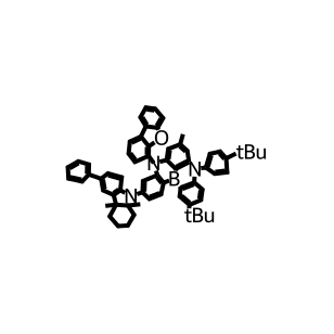 Cc1cc2c3c(c1)N(c1cccc4c1oc1ccccc14)c1cc(N4c5ccc(-c6ccccc6)cc5C5(C)CCCCC45C)ccc1B3c1cc(C(C)(C)C)ccc1N2c1ccc(C(C)(C)C)cc1